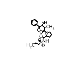 C=CCS(=O)(=O)NC(=O)C1CCCN1C(=O)[C@H](C)C(S)C(=O)c1ccccc1